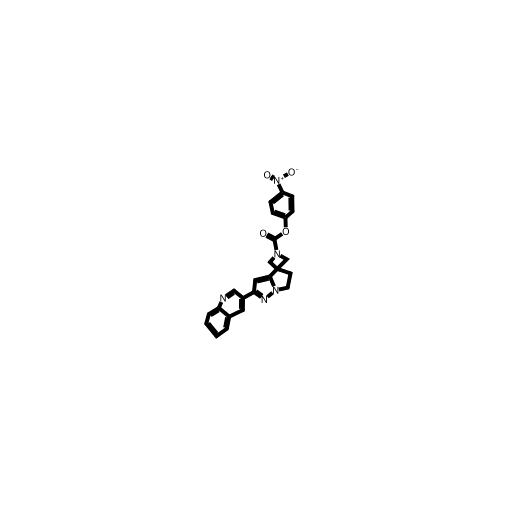 O=C(Oc1ccc([N+](=O)[O-])cc1)N1CC2(CCn3nc(-c4cnc5ccccc5c4)cc32)C1